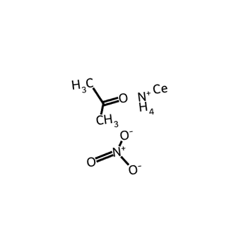 CC(C)=O.O=[N+]([O-])[O-].[Ce].[NH4+]